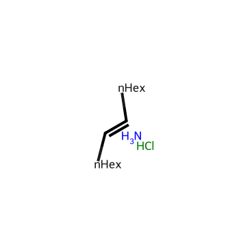 CCCCCCC=CCCCCCC.Cl.N